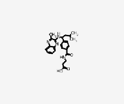 Cc1nc2ccccc2nc1NC(CC(C)C)c1ccc(C(=O)NCCC(=O)O)cc1